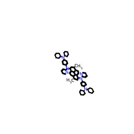 Cc1cc(N(c2ccc(N(C3CCCCC3)C3CCCCC3)cc2)c2ccccn2)c2ccc3c(C)cc(N(c4ccc(N(C5CCCCC5)C5CCCCC5)cc4)c4ccccn4)c4ccc1c2c34